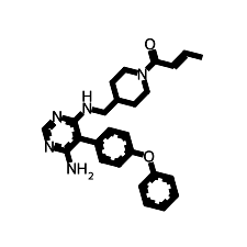 CC=CC(=O)N1CCC(CNc2ncnc(N)c2-c2ccc(Oc3ccccc3)cc2)CC1